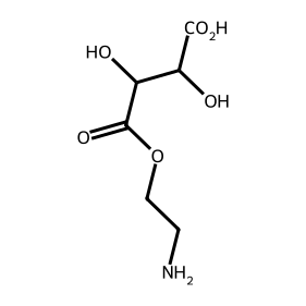 NCCOC(=O)C(O)C(O)C(=O)O